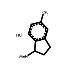 CNC1CCc2cc(C(F)(F)F)ccc21.Cl